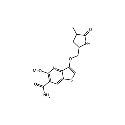 COc1nc2c(OCC3CC(C)C(=O)N3)csc2cc1C(N)=O